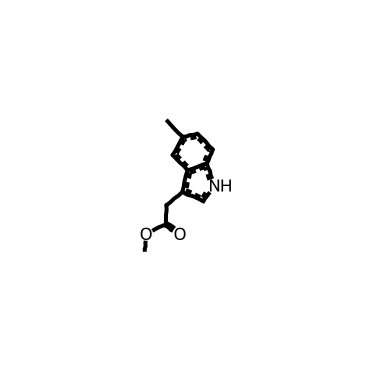 COC(=O)Cc1c[nH]c2ccc(C)cc12